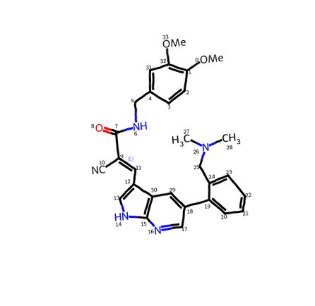 COc1ccc(CNC(=O)/C(C#N)=C/c2c[nH]c3ncc(-c4ccccc4CN(C)C)cc23)cc1OC